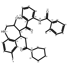 COC1CNc2ccc(F)cc2C(CC(=O)N2CCCCC2)C1C(=O)c1ccccc1NC(=O)c1ccccc1C